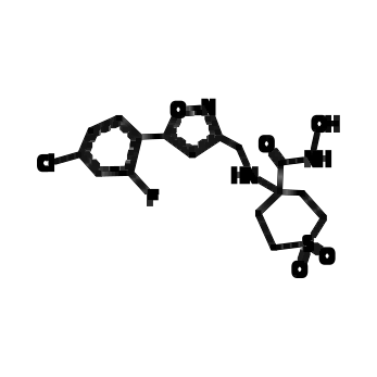 O=C(NO)C1(NCc2cc(-c3ccc(Cl)cc3F)on2)CCS(=O)(=O)CC1